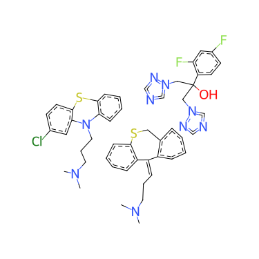 CN(C)CC/C=C1/c2ccccc2CSc2ccccc21.CN(C)CCCN1c2ccccc2Sc2ccc(Cl)cc21.OC(Cn1cncn1)(Cn1cncn1)c1ccc(F)cc1F